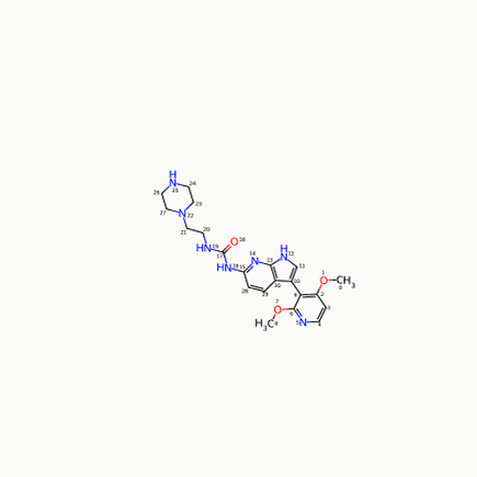 COc1ccnc(OC)c1-c1c[nH]c2nc(NC(=O)NCCN3CCNCC3)ccc12